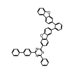 c1ccc(-c2ccc(-c3nc(-c4ccccc4)nc(-c4ccc5c(c4)oc4ccc(-c6ccccc6-c6ccc7c(c6)oc6ccccc67)cc45)n3)cc2)cc1